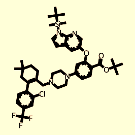 CC1(C)CCC(CN2CCN(c3ccc(C(=O)OC(C)(C)C)c(Oc4cnc5c(ccn5[Si](C)(C)C(C)(C)C)c4)c3)CC2)=C(c2ccc(C(F)(F)F)cc2Cl)C1